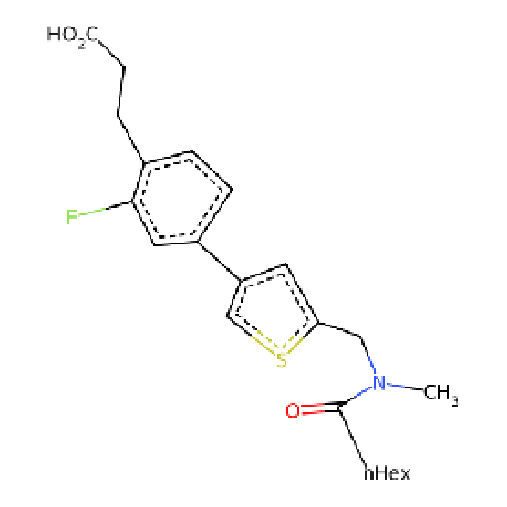 CCCCCCC(=O)N(C)Cc1cc(-c2ccc(CCC(=O)O)c(F)c2)cs1